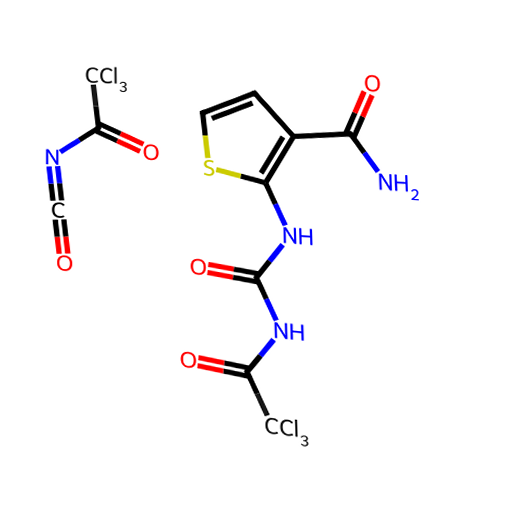 NC(=O)c1ccsc1NC(=O)NC(=O)C(Cl)(Cl)Cl.O=C=NC(=O)C(Cl)(Cl)Cl